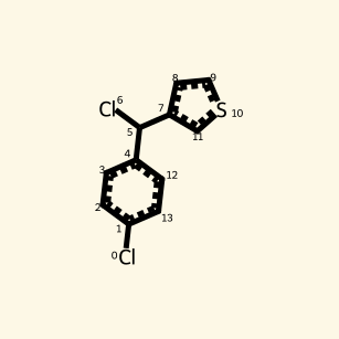 Clc1ccc(C(Cl)c2ccsc2)cc1